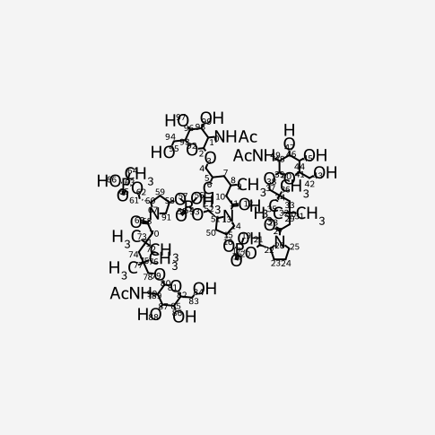 CC(=O)NC1C(OCC(C)CC(C)CC(=O)N2C[C@H](OP(=O)(O)OC[C@@H]3CCCN3C(=O)CC(C)(C)CC(C)(C)COC3OC(CO)C(O)C(O)C3NC(C)=O)C[C@H]2COP(=O)(O)O[C@@H]2C[C@@H](COP(C)(=O)O)N(C(=O)CC(C)(C)CC(C)(C)COC3OC(CO)C(O)C(O)C3NC(C)=O)C2)OC(CO)C(O)C1O